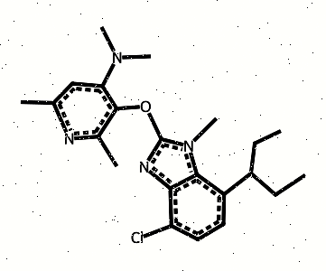 CCC(CC)c1ccc(Cl)c2nc(Oc3c(N(C)C)cc(C)nc3C)n(C)c12